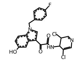 O=C(NC1C(Cl)=CN=CC1Cl)C(=O)c1cn(Cc2ccc(F)cc2)c2ccc(O)cc12